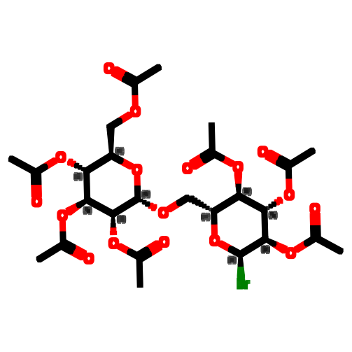 CC(=O)OC[C@H]1O[C@H](OC[C@H]2O[C@H](Br)[C@H](OC(C)=O)[C@@H](OC(C)=O)[C@@H]2OC(C)=O)[C@H](OC(C)=O)[C@@H](OC(C)=O)[C@@H]1OC(C)=O